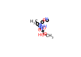 CCOC(O)[C@H]1C[C@H](n2c(=O)[nH]/c(=N\c3ccc(Oc4ccccn4)cc3)n(Cc3ccc(C)cc3)c2=O)C1